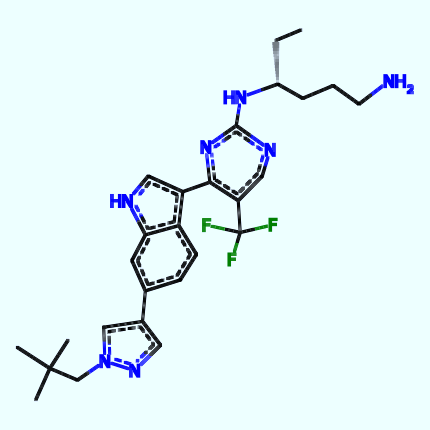 CC[C@H](CCCN)Nc1ncc(C(F)(F)F)c(-c2c[nH]c3cc(-c4cnn(CC(C)(C)C)c4)ccc23)n1